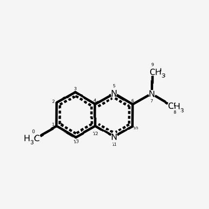 Cc1ccc2nc(N(C)C)cnc2c1